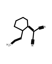 C=C=CC1CCCCC1=C(C#N)C#N